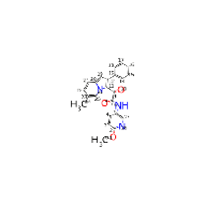 COc1ccc(NC(=O)C(=O)c2c(-c3ccccc3)cc3ccc(C)cn23)cn1